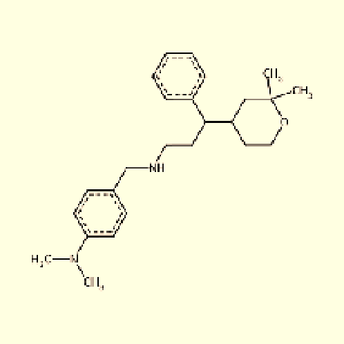 CN(C)c1ccc(CNCCC(c2ccccc2)C2CCOC(C)(C)C2)cc1